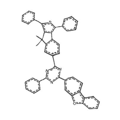 CC1(C)c2cc(-c3nc(-c4ccccc4)nc(-c4ccc5c(c4)oc4ccccc45)n3)ccc2-c2c(-c3ccccc3)sc(-c3ccccc3)c21